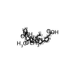 COc1cc(C(=O)N2CC3CCC2C3N)cc2nc(-c3cc4ccc(-c5cccc(CCC(=O)O)c5)nc4n3CC3CC3)n(C)c12